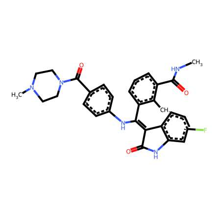 CNC(=O)c1cccc(/C(Nc2ccc(C(=O)N3CCN(C)CC3)cc2)=C2/C(=O)Nc3cc(F)ccc32)c1C